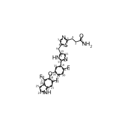 NC(=O)CCc1ncc(Cc2cnc(-c3cc(Oc4c(F)cc5[nH]ccc5c4F)ccc3F)[nH]2)s1